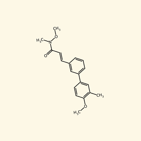 COc1ccc(-c2cccc(C=CC(=O)N(C)OC)c2)cc1C